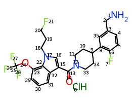 Cl.NCc1ccc(F)c(C2CCN(C(=O)c3cn(CCCF)c4c(OC(F)(F)F)cccc34)CC2)c1